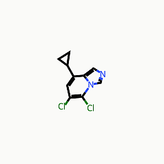 Clc1cc(C2CC2)c2cncn2c1Cl